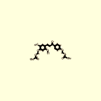 CCCc1cc(/C=C/C(=O)c2ccc(OCOC(=O)C(C)(C)C)cc2)c(OCC)cc1OCOC(=O)C(C)(C)C